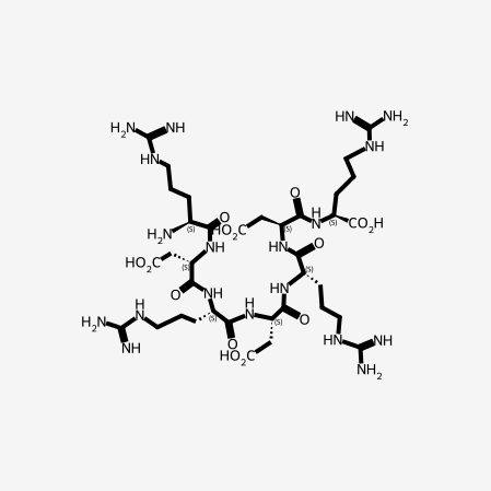 N=C(N)NCCC[C@H](NC(=O)[C@H](CC(=O)O)NC(=O)[C@H](CCCNC(=N)N)NC(=O)[C@H](CC(=O)O)NC(=O)[C@H](CCCNC(=N)N)NC(=O)[C@H](CC(=O)O)NC(=O)[C@@H](N)CCCNC(=N)N)C(=O)O